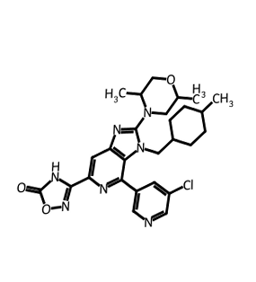 CC1CCC(Cn2c(N3CC(C)OCC3C)nc3cc(-c4noc(=O)[nH]4)nc(-c4cncc(Cl)c4)c32)CC1